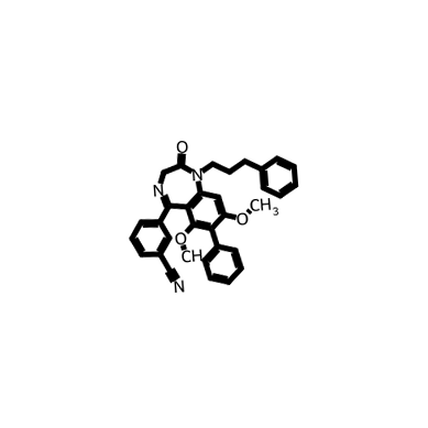 COc1cc2c(c(OC)c1-c1ccccc1)C(c1cccc(C#N)c1)=NCC(=O)N2CCCc1ccccc1